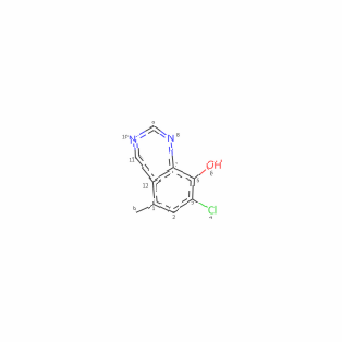 Cc1cc(Cl)c(O)c2ncncc12